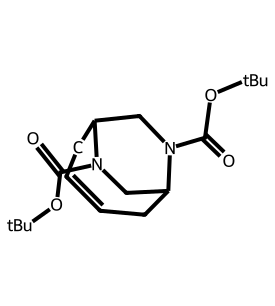 CC(C)(C)OC(=O)N1CC2CC=CCC1CN2C(=O)OC(C)(C)C